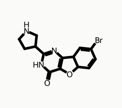 O=c1[nH]c(C2CCNC2)nc2c1OC1C=CC(Br)=CC21